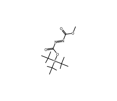 COC(=O)/N=N/C(=O)O[Si](C(C)(C)C)(C(C)(C)C)C(C)(C)C